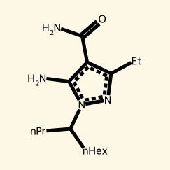 CCCCCCC(CCC)n1nc(CC)c(C(N)=O)c1N